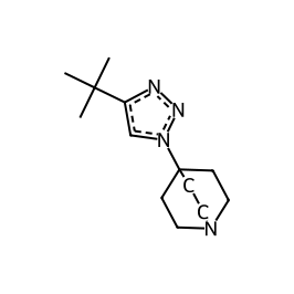 CC(C)(C)c1cn(C23CCN(CC2)CC3)nn1